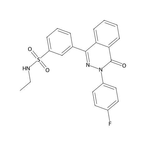 CCNS(=O)(=O)c1cccc(-c2nn(-c3ccc(F)cc3)c(=O)c3ccccc23)c1